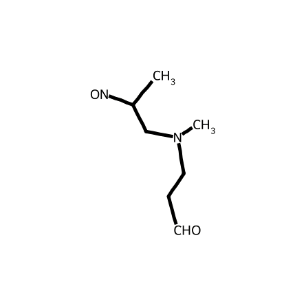 CC(CN(C)CCC=O)N=O